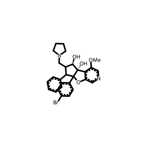 COc1cncc2c1[C@]1(O)[C@H](O)C(CN3CCCC3)C(c3ccccc3)C1(c1ccc(Br)cc1)O2